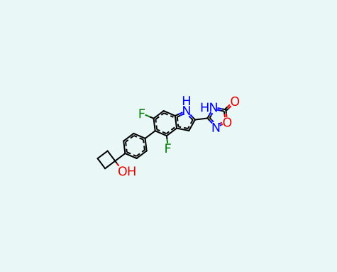 O=c1[nH]c(-c2cc3c(F)c(-c4ccc(C5(O)CCC5)cc4)c(F)cc3[nH]2)no1